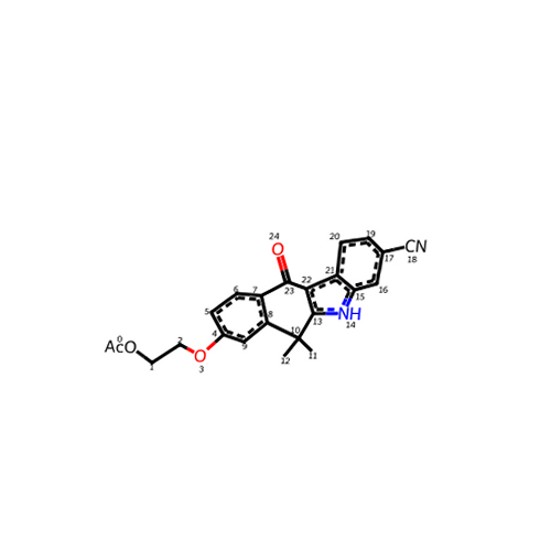 CC(=O)OCCOc1ccc2c(c1)C(C)(C)c1[nH]c3cc(C#N)ccc3c1C2=O